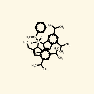 CCC1=Cc2c(C(C)C)cc(C(C)C)cc2[CH]1[Hf]([Cl])([Cl])([CH]1C(CC)=Cc2c(C(C)C)cc(C(C)C)cc21)[SiH](C)c1ccccc1